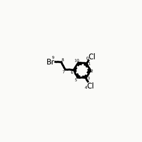 Clc1cc(Cl)cc(CCBr)c1